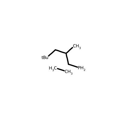 CC.CC(CP)CC(C)(C)C